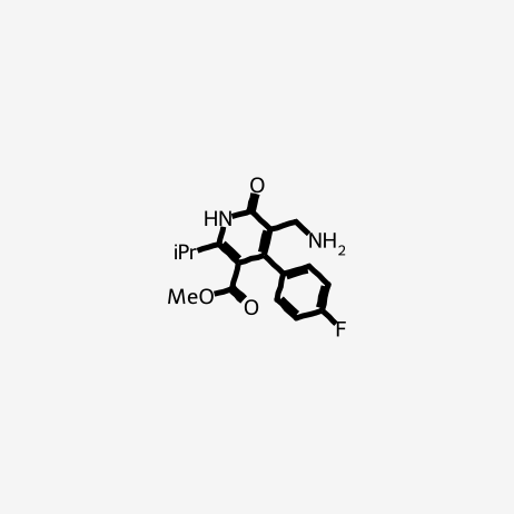 COC(=O)c1c(C(C)C)[nH]c(=O)c(CN)c1-c1ccc(F)cc1